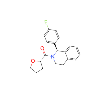 O=C([C@@H]1CCCO1)N1CCc2ccccc2[C@@H]1c1ccc(F)cc1